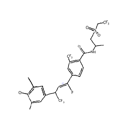 Cc1cc(C(/C=C(\F)c2ccc(C(=O)NC(C)CS(=O)(=O)CC(F)(F)F)c(C(F)(F)F)c2)C(F)(F)F)cc(C)c1Cl